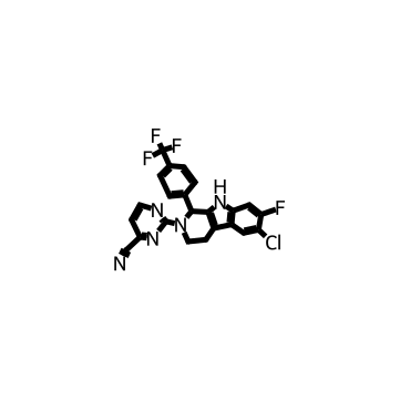 N#Cc1ccnc(N2CCc3c([nH]c4cc(F)c(Cl)cc34)C2c2ccc(C(F)(F)F)cc2)n1